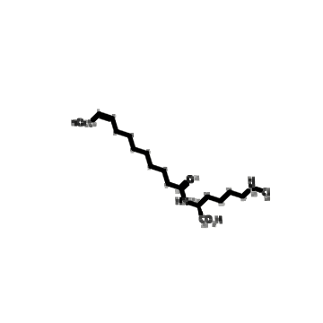 CCCCCCCC/C=C\CCCCCCCC(=O)N[C@@H](CCCCNCl)C(=O)O